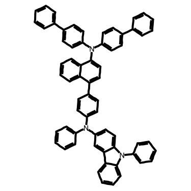 c1ccc(-c2ccc(N(c3ccc(-c4ccccc4)cc3)c3ccc(-c4ccc(N(c5ccccc5)c5ccc6c(c5)c5ccccc5n6-c5ccccc5)cc4)c4ccccc34)cc2)cc1